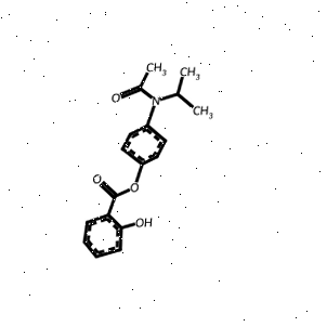 CC(=O)N(c1ccc(OC(=O)c2ccccc2O)cc1)C(C)C